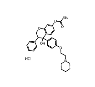 CC(C)(C)C(=O)Oc1ccc2c(c1)OCC(c1ccccc1)C2(O)c1ccc(OCCN2CCCCC2)cc1.Cl